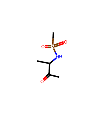 CC(=O)C(C)NS(C)(=O)=O